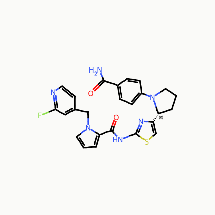 NC(=O)c1ccc(N2CCC[C@@H]2c2csc(NC(=O)c3cccn3Cc3ccnc(F)c3)n2)cc1